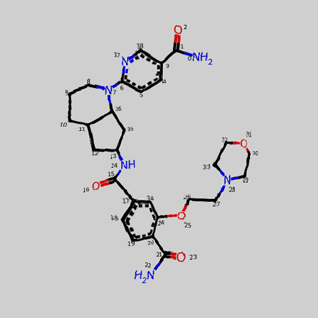 NC(=O)c1ccc(N2CCCC3CC(NC(=O)c4ccc(C(N)=O)c(OCCN5CCOCC5)c4)CC32)nc1